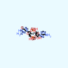 CCCC1C2OP(=O)(O)OC[C@H]3O[C@@H](n4cnc5c(N)ncnc54)[C@@H](O)C3OP(=O)(O)OC[C@H]1O[C@H]2n1cnc2c(=O)[nH]c(N)nc21